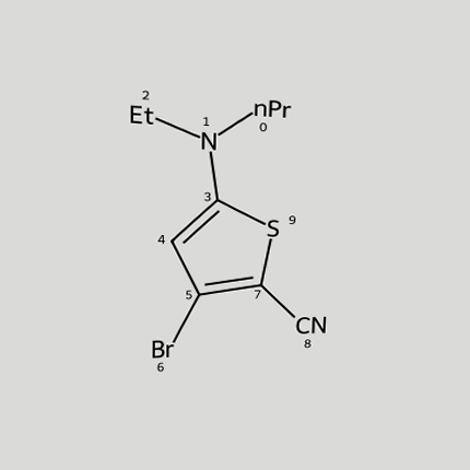 CCCN(CC)c1cc(Br)c(C#N)s1